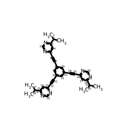 CC(C)c1cc(C#Cc2cc(C#Cc3cc(C(C)C)ncn3)cc(C#Cc3cc(C(C)C)ncn3)c2)ncn1